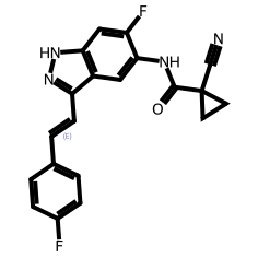 N#CC1(C(=O)Nc2cc3c(/C=C/c4ccc(F)cc4)n[nH]c3cc2F)CC1